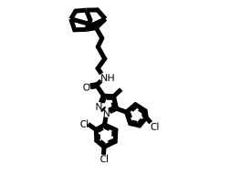 Cc1c(C(=O)NCCCCC2C3CC4CC(C3)CC2C4)nn(-c2ccc(Cl)cc2Cl)c1-c1ccc(Cl)cc1